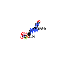 COc1nc(Nc2nccc(-c3ccc(OC4CCN(C(=O)[C@@H](C)O)CC4(F)F)c(C#N)c3)n2)ccc1N1CCN(C2COC2)[C@H](C)C1